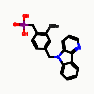 COc1cc(Cn2c3ccccc3c3ncccc32)ccc1CP(=O)(O)O